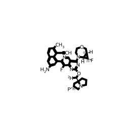 [2H]C(Oc1nc(N2CCOC[C@H]3[C@H](F)[C@H]32)c2cnc(-c3cc(N)cc4ccc(C)c(C#C)c34)c(F)c2n1)[C@@]12CCCN1C[C@H](F)C2